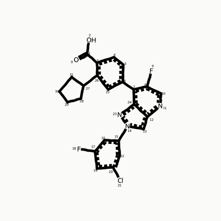 O=C(O)c1ccc(-c2c(F)cnc3cn(-c4cc(F)cc(Cl)c4)nc23)cc1C1CCCC1